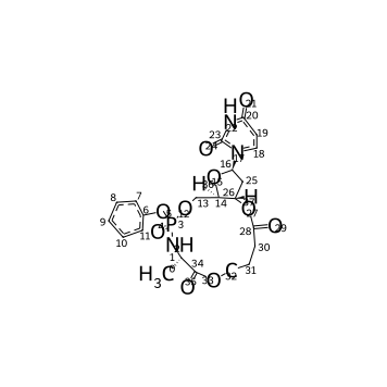 C[C@@H]1NP(=O)(Oc2ccccc2)OC[C@H]2O[C@@H](n3ccc(=O)[nH]c3=O)C[C@@H]2OC(=O)CCCOC1=O